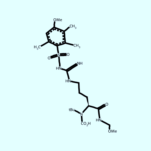 COCNC(=O)[C@H](CCCNC(=N)NS(=O)(=O)c1c(C)cc(OC)c(C)c1C)N(C(=O)O)C(C)(C)C